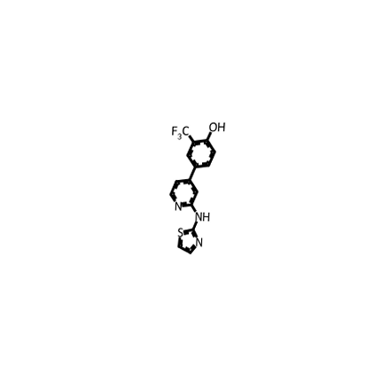 Oc1ccc(-c2ccnc(Nc3nccs3)c2)cc1C(F)(F)F